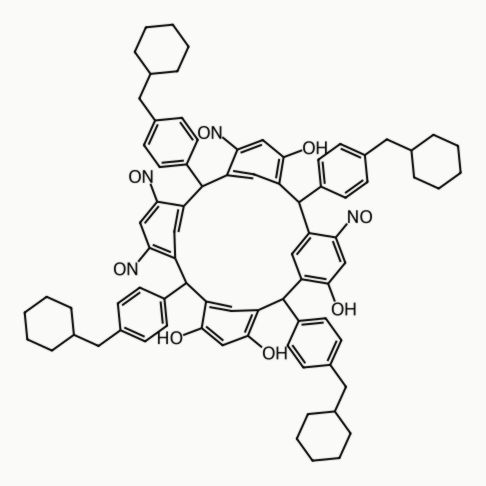 O=Nc1cc(O)c2cc1C(c1ccc(CC3CCCCC3)cc1)c1cc(c(N=O)cc1O)C(c1ccc(CC3CCCCC3)cc1)c1cc(c(N=O)cc1N=O)C(c1ccc(CC3CCCCC3)cc1)c1cc(c(O)cc1O)C2c1ccc(CC2CCCCC2)cc1